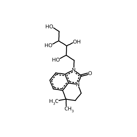 CC1(C)CCn2c(=O)n(CC(O)C(O)C(O)CO)c3cccc1c32